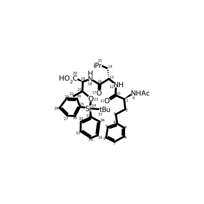 CC(=O)N[C@@H](CCc1ccccc1)C(=O)N[C@@H](CC(C)C)C(=O)N[C@H](C(=O)O)C(C)O[Si](c1ccccc1)(c1ccccc1)C(C)(C)C